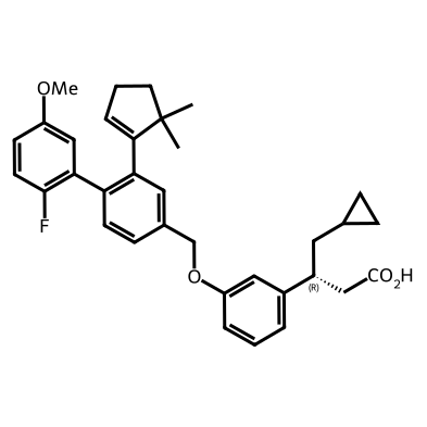 COc1ccc(F)c(-c2ccc(COc3cccc([C@@H](CC(=O)O)CC4CC4)c3)cc2C2=CCCC2(C)C)c1